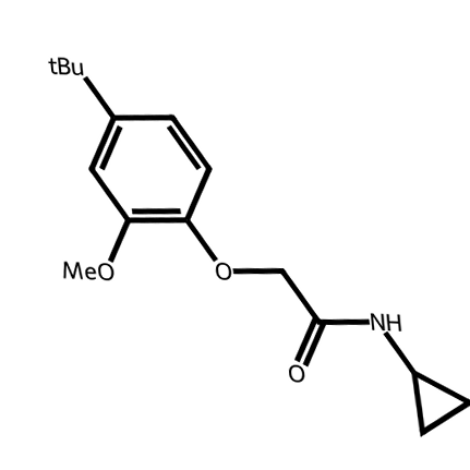 COc1cc(C(C)(C)C)ccc1OCC(=O)NC1CC1